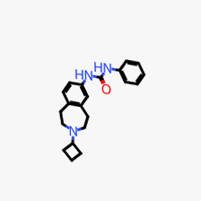 O=C(Nc1ccccc1)Nc1ccc2c(c1)CCN(C1CCC1)CC2